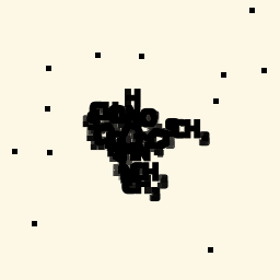 CSc1ccc2[nH]cc(C3=C(c4cn(CCCN(C)C)c5ccc(SC)cc45)C(=O)NC3=O)c2c1